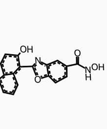 O=C(NO)c1ccc2oc(-c3c(O)ccc4ccccc34)nc2c1